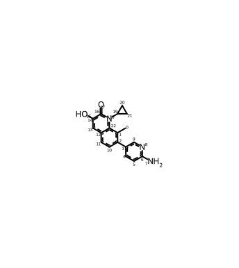 Cc1c(-c2ccc(N)nc2)ccc2cc(O)c(=O)n(C3CC3)c12